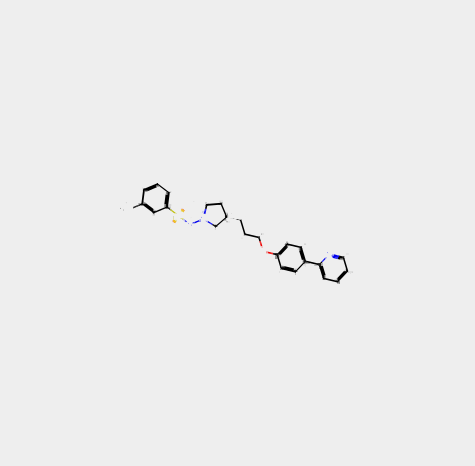 N#Cc1cccc(S(=O)(=O)NN2CC[C@@H](CCCOc3ccc(-c4ccccn4)cc3)C2)c1